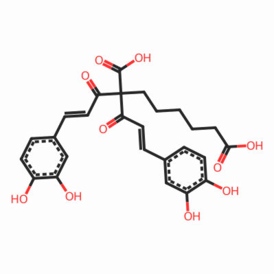 O=C(O)CCCCCC(C(=O)O)(C(=O)C=Cc1ccc(O)c(O)c1)C(=O)C=Cc1ccc(O)c(O)c1